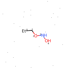 CCCONO